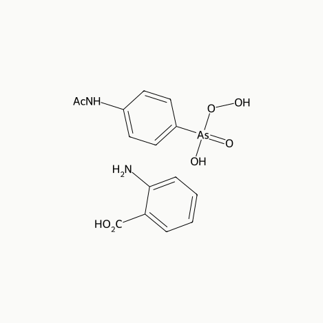 CC(=O)Nc1ccc([As](=O)(O)OO)cc1.Nc1ccccc1C(=O)O